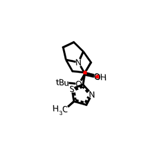 Cc1cnc(C2(O)CC3CCC(C2)N3C(=O)OC(C)(C)C)s1